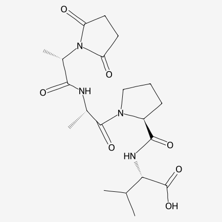 CC(C)[C@H](NC(=O)[C@@H]1CCCN1C(=O)[C@H](C)NC(=O)[C@H](C)N1C(=O)CCC1=O)C(=O)O